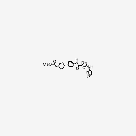 COC(=O)C[C@H]1CC[C@H](c2ccc(NC(=O)c3nnc(Nc4ccn(C)n4)o3)cc2)CC1